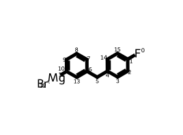 Fc1ccc(Cc2ccc[c]([Mg][Br])c2)cc1